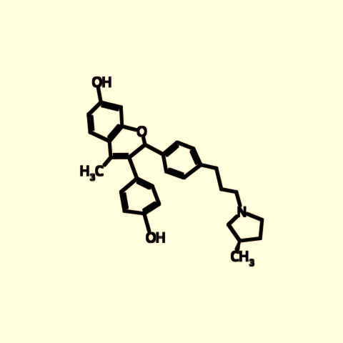 CC1=C(c2ccc(O)cc2)C(c2ccc(CCCN3CC[C@@H](C)C3)cc2)Oc2cc(O)ccc21